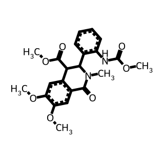 COC(=O)Nc1ccccc1C1C(C(=O)OC)c2cc(OC)c(OC)cc2C(=O)N1C